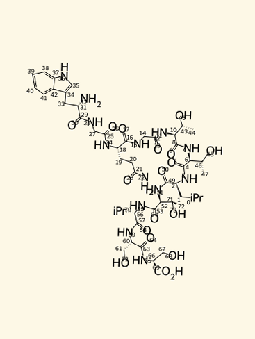 CC(C)C[C@H](NC(=O)[C@@H](NC(=O)[C@@H](NC(=O)CNC(=O)[C@H](CCC(N)=O)NC(=O)CNC(=O)[C@@H](N)Cc1c[nH]c2ccccc12)[C@@H](C)O)[C@@H](C)O)C(=O)N[C@H](C(=O)N[C@H](C(=O)N[C@@H](CO)C(=O)N[C@@H](CO)C(=O)O)C(C)C)[C@@H](C)O